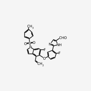 C=Cc1c(Oc2ccc(F)c(-c3ncc(C=O)[nH]3)c2)c(F)cc2c1ccn2S(=O)(=O)c1ccc(C)cc1